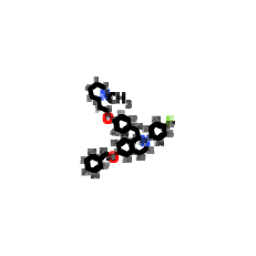 CN1CCCCC1CCOc1ccc(CC2c3ccc(OCc4ccccc4)cc3CCN2c2ccc(F)cc2)cc1